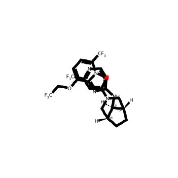 FC(F)(F)COc1ccc(C(F)(F)F)n2nc(N[C@@H]3[C@@H]4CC[C@H]3CN(c3ccnc(C(F)(F)F)c3)C4)nc12